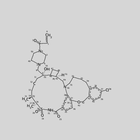 C=CC(=O)N1CCN(C[C@]2(O)CCC[C@H](C)[C@@H](C)S(=O)(=O)NC(=O)c3ccc4c(c3)N(CCCCc3cc(Cl)ccc3CO4)C[C@@H]3CCC32)CC1